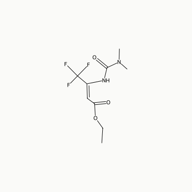 CCOC(=O)/C=C(\NC(=O)N(C)C)C(F)(F)F